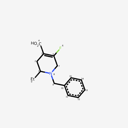 CCC1CC(C(=O)O)=C(F)CN1Cc1ccccc1